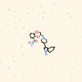 NC(=O)c1cccc2c1OC(CN1CC=C(c3c[nH]c4ccccc34)CC1)CO2